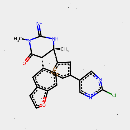 CN1C(=N)N[C@](C)(c2cc(-c3cnc(Cl)nc3)cs2)[C@H](c2ccc3occc3c2)C1=O